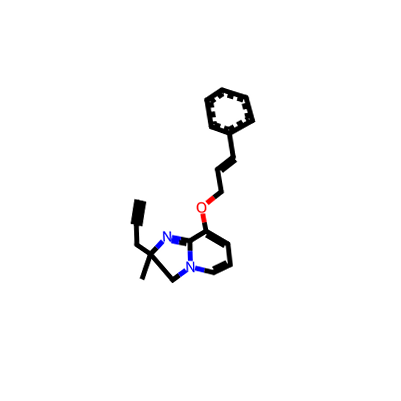 C#CCC1(C)CN2C=CC=C(OC/C=C/c3ccccc3)C2=N1